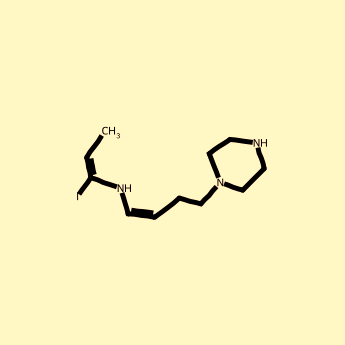 C/C=C(/I)N/C=C\CCN1CCNCC1